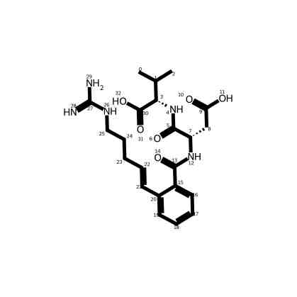 CC(C)[C@H](NC(=O)[C@H](CC(=O)O)NC(=O)c1ccccc1/C=C/CCCNC(=N)N)C(=O)O